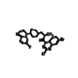 CC(CC1CCC(c2ccnc3ccc(F)cc23)CC1)Nc1nc(Cl)nc2cc(Br)ccc12